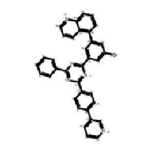 Brc1cc(-c2nc(-c3ccccc3)nc(-c3ccc(-c4cccnc4)cc3)n2)cc(-c2cccc3ncccc23)c1